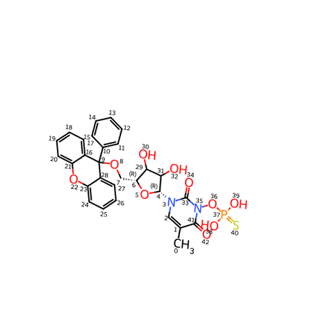 Cc1cn([C@@H]2O[C@H](COC3(c4ccccc4)c4ccccc4Oc4ccccc43)C(O)C2O)c(=O)n(OP(O)(O)=S)c1=O